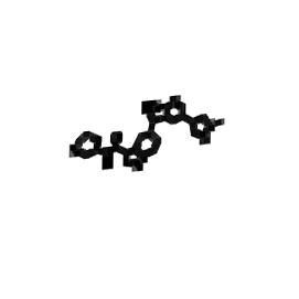 Cn1cc(-c2cnc3[nH]cc(-c4ccn5ncc(C(=O)Nc6cccnc6)c5c4)c3c2)cn1